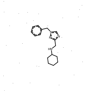 c1ccc(Cn2cnc(CNC3CCCCC3)n2)cc1